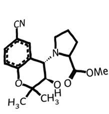 COC(=O)C1CCCN1[C@H]1c2cc(C#N)ccc2OC(C)(C)[C@@H]1O